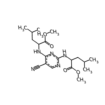 COC(=O)C(CC(C)C)Nc1ncc(C#N)c(NC(CC(C)C)C(=O)OC)n1